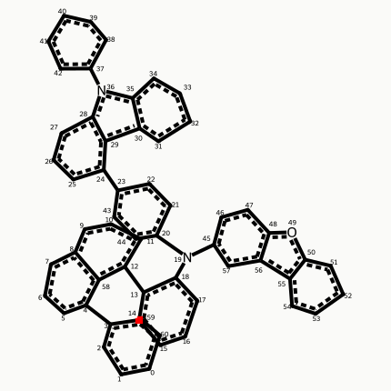 c1ccc(-c2cccc3cccc(-c4ccccc4N(c4ccc(-c5cccc6c5c5ccccc5n6-c5ccccc5)cc4)c4ccc5oc6ccccc6c5c4)c23)cc1